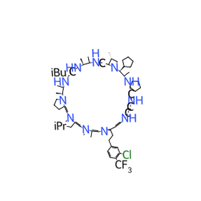 CC[C@H](C)[C@H]1CN[C@@H](C)C(C)NCC2[C@H](C)CN2[C@@H](C2CCCC2)C(C)NC2(CCCC2)CNCCNC=CC(CCc2ccc(C(F)(F)F)c(Cl)c2)=NC=C(C)N(C)C=C(CC(C)C)N(C)C=C2CCCN2[C@@H](C)C(C)N1